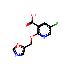 O=C(O)c1cc(F)cnc1OCc1cnco1